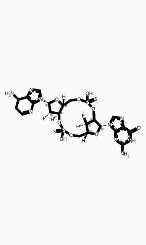 Nc1nc2c(ncn2[C@@H]2O[C@@H]3COP(O)(=S)O[C@H]4[C@H](F)[C@H](n5cnc6c5N=CCC6N)O[C@@H]4COP(O)(=S)O[C@@H]2[C@@H]3F)c(=O)[nH]1